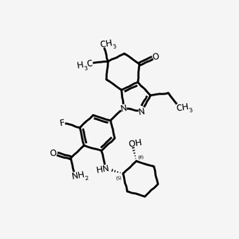 CCc1nn(-c2cc(F)c(C(N)=O)c(N[C@H]3CCCC[C@H]3O)c2)c2c1C(=O)CC(C)(C)C2